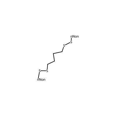 CCCCCCCCCSSCCCCSSCCCCCCCCC